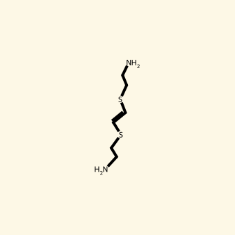 NCCSC=CSCCN